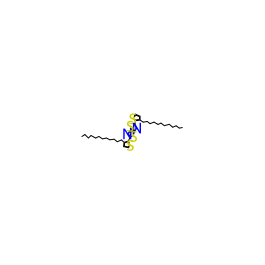 CCCCCCCCCCCCc1ccsc1-c1nc2sc(-c3sccc3CCCCCCCCCCCC)nc2s1